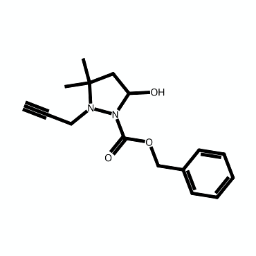 C#CCN1N(C(=O)OCc2ccccc2)C(O)CC1(C)C